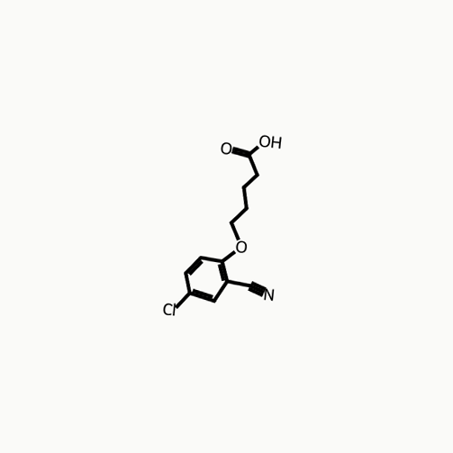 N#Cc1cc(Cl)ccc1OCCCCC(=O)O